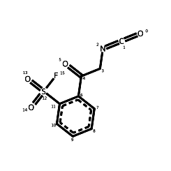 O=C=NCC(=O)c1ccccc1S(=O)(=O)F